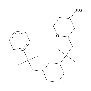 CC(C)(CN1CCCC(C(C)(C)CC2CN(C(C)(C)C)CCO2)C1)c1ccccc1